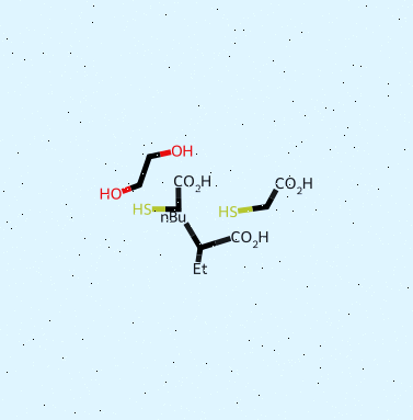 CCCCC(CC)C(=O)O.O=C(O)CS.O=C(O)CS.OCCO